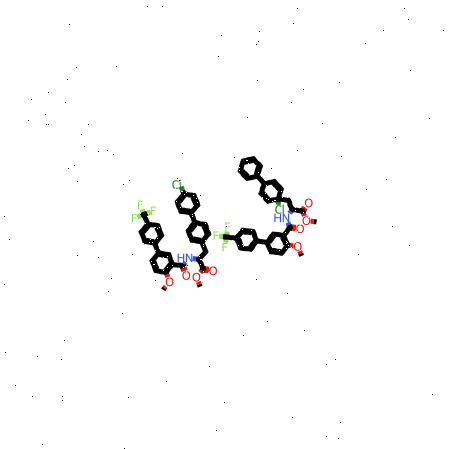 COC(=O)C(CC1(Cl)C=CC(c2ccccc2)C=C1)NC(=O)c1cc(-c2ccc(C(F)(F)F)cc2)ccc1OC.COC(=O)C(Cc1ccc(-c2ccc(Cl)cc2)cc1)NC(=O)c1cc(-c2ccc(C(F)(F)F)cc2)ccc1OC